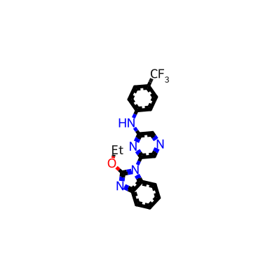 CCOc1nc2ccccc2n1-c1cncc(Nc2ccc(C(F)(F)F)cc2)n1